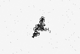 CCOc1c(CC(N)=O)cc([C@@](O)(CNC(=O)c2cc(OC)c3nn(C4CC4)cc3c2)C2(F)CC2)nc1-c1ccc2c(c1)OC(F)(F)O2